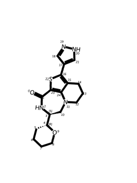 O=C1N[C@H]([C@H]2CCCCO2)CN2CCCc3c(-c4cn[nH]c4)sc1c32